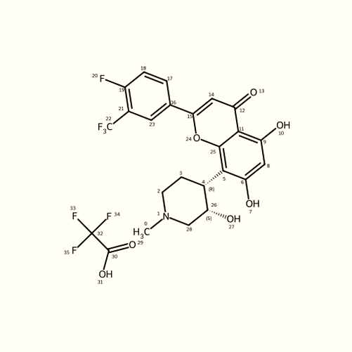 CN1CC[C@H](c2c(O)cc(O)c3c(=O)cc(-c4ccc(F)c(C(F)(F)F)c4)oc23)[C@H](O)C1.O=C(O)C(F)(F)F